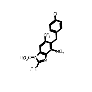 O=C(O)n1c(C(F)(F)F)nc2c([N+](=O)[O-])c(Cc3ccc(Cl)cc3)c(C(F)(F)F)cc21